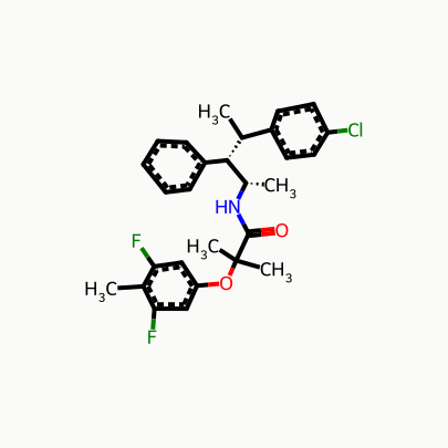 Cc1c(F)cc(OC(C)(C)C(=O)N[C@@H](C)[C@H](c2ccccc2)C(C)c2ccc(Cl)cc2)cc1F